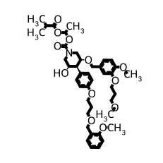 COCCCOc1cc(CO[C@H]2CN(C(=O)OC(C)OC(=O)C(C)C)C[C@@H](O)[C@@H]2c2ccc(OCCCOCc3ccccc3OC)cc2)ccc1OC